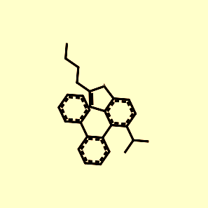 CCCCC1=Cc2c(ccc(C(C)C)c2-c2ccccc2-c2ccccc2)[CH]1